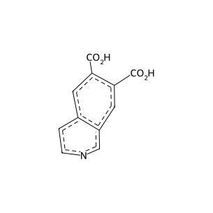 O=C(O)c1cc2ccncc2cc1C(=O)O